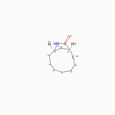 O=C1N[C@@H]2CCCCCCC[C@H]1C2